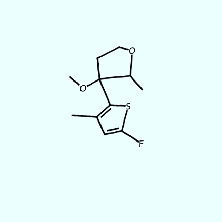 COC1(c2sc(F)cc2C)CCOC1C